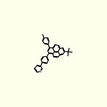 Cc1ccc(-c2cc(-c3ccc(-c4cccnc4)cc3)c3ccc4cc(C(C)(C)C)cc5ccc2c3c54)cc1